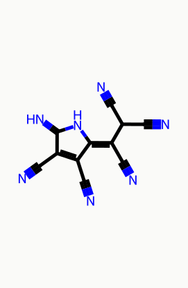 N#CC1=C(C#N)C(=C(C#N)C(C#N)C#N)NC1=N